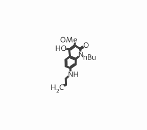 C=CCNc1ccc2c(O)c(OC)c(=O)n(CCCC)c2c1